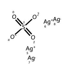 O=S(=O)([O-])[O-].[Ag+].[Ag+].[Ag].[Ag]